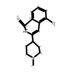 CN1CCC(c2cc3c(Cl)cccc3c(=O)[nH]2)CC1